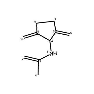 C=C(C)NC1C(=C)CCC1=C